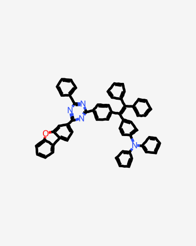 c1ccc(C(=C(c2ccc(-c3nc(-c4ccccc4)nc(-c4ccc5c(c4)oc4ccccc45)n3)cc2)c2ccc(N(c3ccccc3)c3ccccc3)cc2)c2ccccc2)cc1